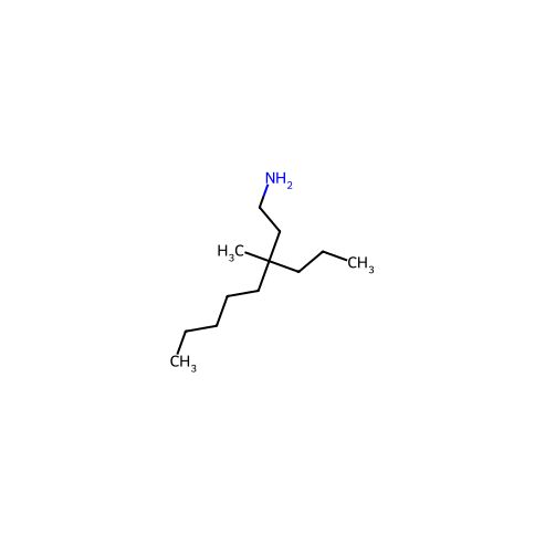 CCCCCC(C)(CCC)CCN